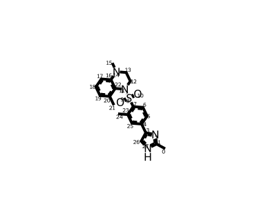 Cc1nc(-c2ccc(S(=O)(=O)N3CCN(C)c4cccc(C)c43)c(C)c2)c[nH]1